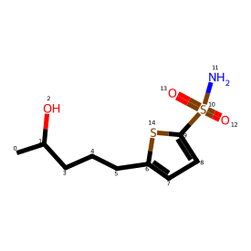 CC(O)CCCc1ccc(S(N)(=O)=O)s1